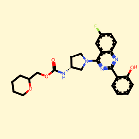 O=C(N[C@@H]1CCN(c2nc(-c3ccccc3O)nc3ccc(F)cc23)C1)OCC1CCCCO1